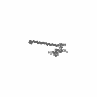 C[C@H](Cn1cnc2c(N)ncnc21)OCP(=O)(O)OCCCCCCCCCCCCCCCCCC1CCC1